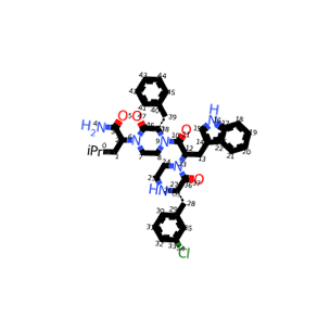 CC(C)CC(C(N)=O)N1CCN(C(=O)C(Cc2c[nH]c3ccccc23)N2CCN[C@@H](Cc3cccc(Cl)c3)C2=O)[C@@H](Cc2ccccc2)C1=O